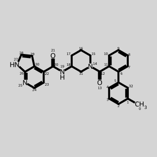 Cc1cccc(-c2ccccc2C(=O)N2CCCC(NC(=O)c3ccnc4[nH]ccc34)C2)c1